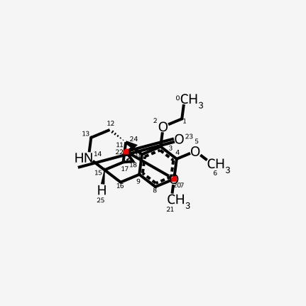 CCOc1c(OC)ccc2c1[C@@]13CCN[C@@H](C2)C1C=C(OC)C(=O)C3